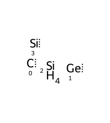 [C].[Ge].[SiH4].[Si]